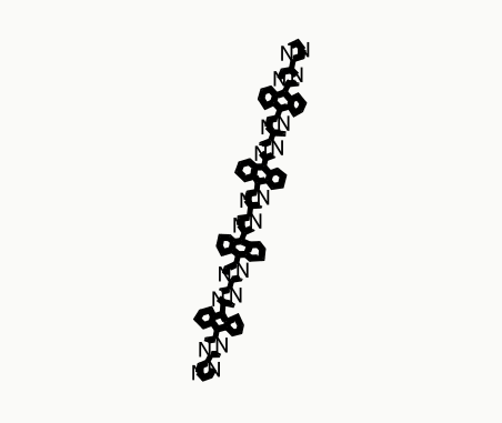 c1ccc2c(-c3cnc(-c4cnc(-c5c6ccccc6c(-c6cnc(-c7cnc(-c8c9ccccc9c(-c9cnc(-c%10cnc(-c%11c%12ccccc%12c(-c%12cnc(-c%13cnccn%13)cn%12)c%12ccccc%11%12)cn%10)cn9)c9ccccc89)cn7)cn6)c6ccccc56)cn4)cn3)c3ccccc3c(-c3cnc(-c4cnccn4)cn3)c2c1